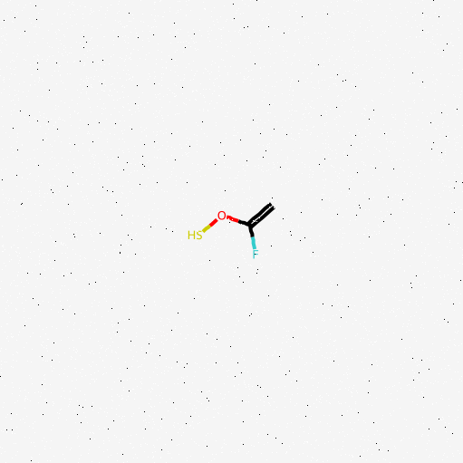 C=C(F)OS